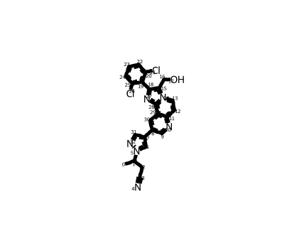 CC(CC#N)n1cc(-c2cnc3ccn4c(CO)c(-c5c(Cl)cccc5Cl)nc4c3c2)cn1